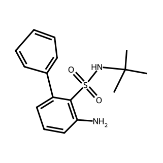 CC(C)(C)NS(=O)(=O)c1c(N)cccc1-c1ccccc1